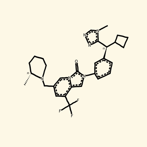 C[C@@H]1CCCCN1Cc1cc(C(F)(F)F)c2cn(-c3cccc([C@@H](c4nncn4C)C4CCC4)c3)c(=O)n2c1